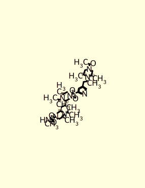 CNS(=O)(=O)N1C[C@@H](CC[C@H]2CN(S(=O)(=O)c3cncc(CC(C)N4[C@H](C)CN(C(C)=O)C[C@@H]4C)c3)C[C@@H](C)N2C(C)C)N(C(C)C)[C@@H](C)C1